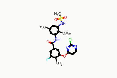 COc1c(NC(=O)c2cc(F)c(C)c(Oc3ccnc(Cl)n3)c2)cc(C(C)(C)C)cc1NS(C)(=O)=O